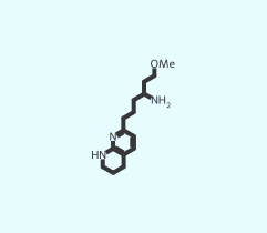 COCCC(N)CCCc1ccc2c(n1)NCCC2